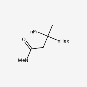 CCCCCCC(C)(CCC)CC(=O)NC